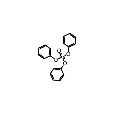 O=[As](Oc1ccccc1)(Oc1ccccc1)Oc1ccccc1